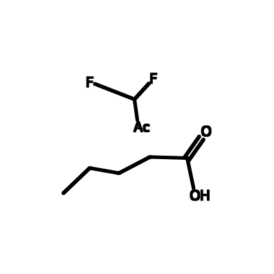 CC(=O)C(F)F.CCCCC(=O)O